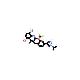 Cc1c(Cc2ccc(-c3cnn(C(C)C)c3)cc2)c(OC(F)F)nc2c(Cl)ccc([O])c12